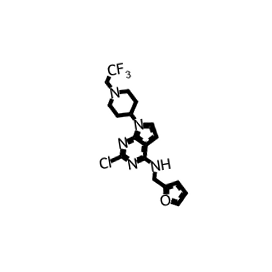 FC(F)(F)CN1CCC(n2ccc3c(NCc4ccco4)nc(Cl)nc32)CC1